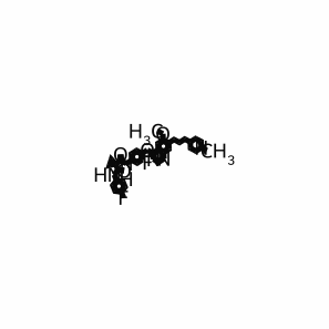 COc1cc2c(Oc3ccc(NC(=O)C4(C(=O)Nc5ccc(F)cc5)CC4)cc3F)ncnc2cc1CCCC1CCN(C)CC1